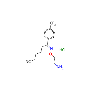 Cl.N#CCCCCC(=NOCCN)c1ccc(C(F)(F)F)cc1